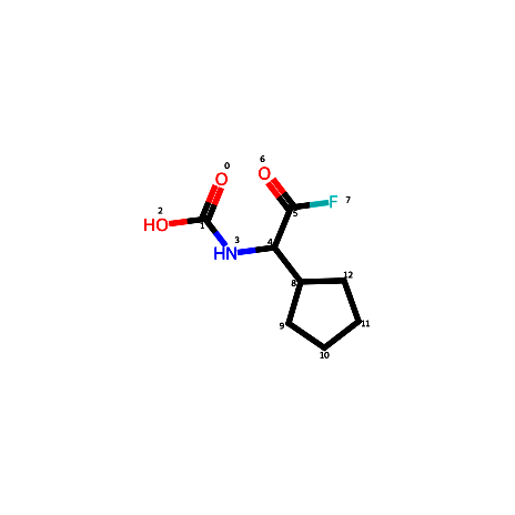 O=C(O)NC(C(=O)F)C1CCCC1